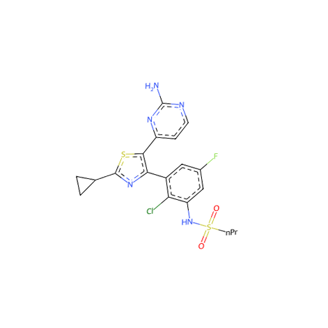 CCCS(=O)(=O)Nc1cc(F)cc(-c2nc(C3CC3)sc2-c2ccnc(N)n2)c1Cl